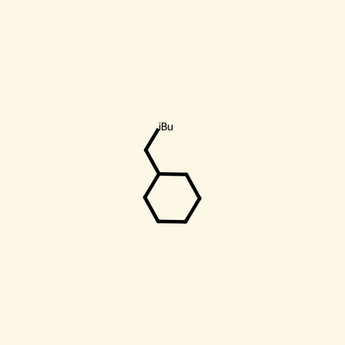 CCC(C)C[C]1CCCCC1